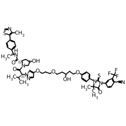 Cc1ncsc1-c1ccc([C@H](C)NC(=O)[C@@H]2C[C@@H](O)CN2C(=O)[C@H](C(C)C)n2cc(OCCCOCCC(O)CCOc3ccc(N4C(=S)N(c5ccc(C#N)c(C(F)(F)F)c5)C(=O)C4(C)C)cc3)cn2)cc1